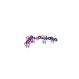 Cc1ccccc1C(=O)N1CCc2cc(-c3nc(NC(=O)Cc4cccc(OCCCNc5cccc6c5C(=O)N(C5CCC(=O)NC5=O)C6=O)c4)sc3C)ccc21